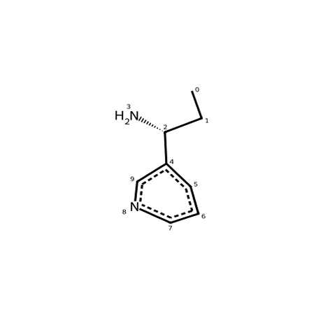 CC[C@@H](N)c1cccnc1